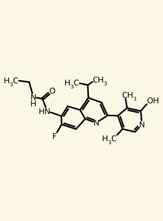 CCNC(=O)Nc1cc2c(C(C)C)cc(-c3c(C)cnc(O)c3C)nc2cc1F